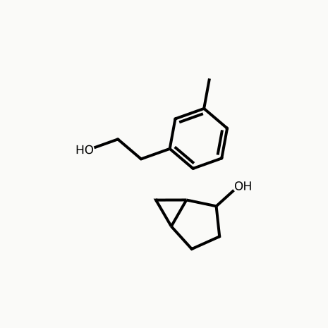 Cc1cccc(CCO)c1.OC1CCC2CC12